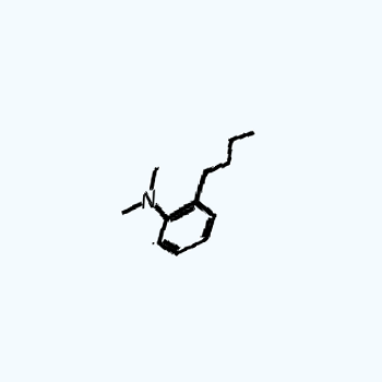 CCCCc1ccc[c]c1N(C)C